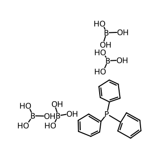 OB(O)O.OB(O)O.OB(O)O.OB(O)O.c1ccc(P(c2ccccc2)c2ccccc2)cc1